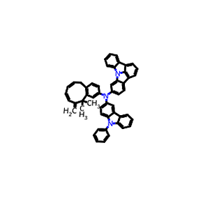 C=C1/C=C\C=C/Cc2ccc(N(c3ccc4c(c3)c3ccccc3n4-c3ccccc3)c3ccc4c5cccc6c7ccccc7n(c4c3)c65)cc2C1(C)C